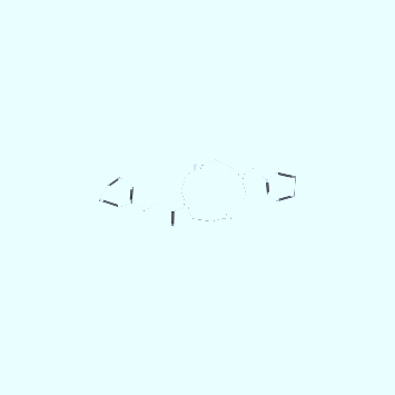 O=C(OCc1ccccc1)N1CCNCCN(Cc2ccccc2)CCNCC1